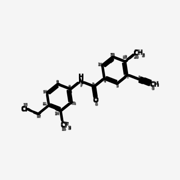 C#Cc1cc(C(=O)Nc2ccc(CCl)c(C(F)(F)F)c2)ccc1C